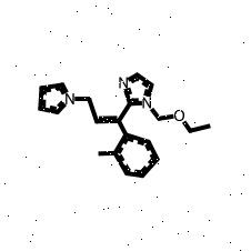 CCOCn1ccnc1C(=CCn1cccc1)c1ccccc1C